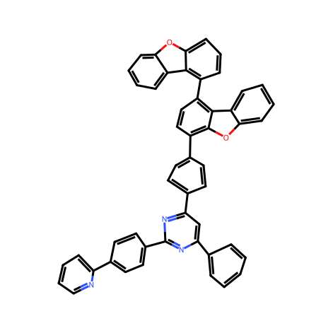 c1ccc(-c2cc(-c3ccc(-c4ccc(-c5cccc6oc7ccccc7c56)c5c4oc4ccccc45)cc3)nc(-c3ccc(-c4ccccn4)cc3)n2)cc1